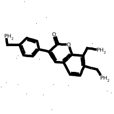 O=c1oc2c(CP)c(CP)ccc2cc1-c1ccc(CP)cc1